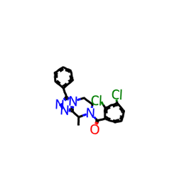 CC1c2nnc(-c3ccccc3)n2CCN1C(=O)c1cccc(Cl)c1Cl